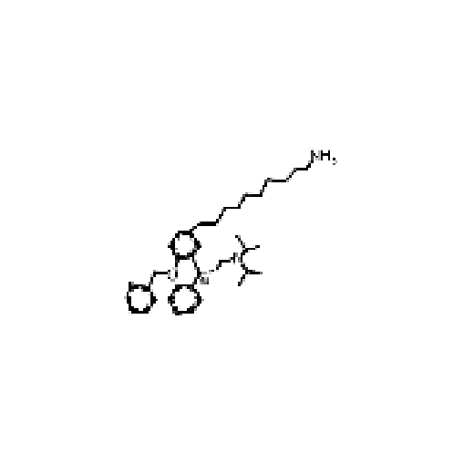 CC(C)N(CC[C@H](c1ccccc1)c1cc(C=CCCCCCCCCN)ccc1OCc1ccccc1)C(C)C